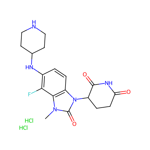 Cl.Cl.Cn1c(=O)n(C2CCC(=O)NC2=O)c2ccc(NC3CCNCC3)c(F)c21